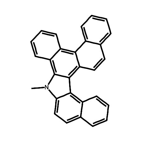 Cn1c2ccc3ccccc3c2c2c3ccc4ccccc4c3c3ccccc3c21